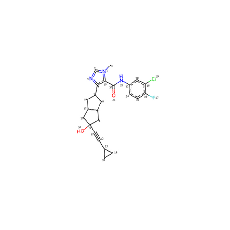 Cn1cnc(C2CC3CC(O)(C#CC4CC4)CC3C2)c1C(=O)Nc1ccc(F)c(Cl)c1